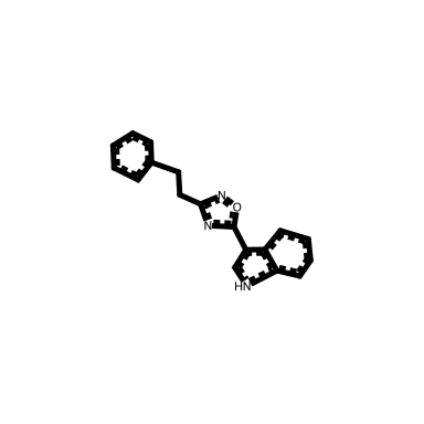 c1ccc(CCc2noc(-c3c[nH]c4ccccc34)n2)cc1